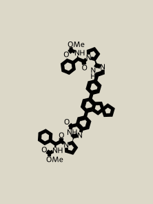 COC(=O)N[C@H](C(=O)N1CCC[C@H]1c1ncc(-c2ccc(-c3ccc(-c4ccc5nc([C@@H]6CCCN6C(=O)[C@@H](NC(=O)OC)C6CCCCC6)[nH]c(=O)c5c4)c4c3CC3(CCCC3)C4)cc2)[nH]1)C1CCCCC1